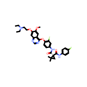 CCN(CC)CCOc1cc2ncnc(Oc3ccc(NC(=O)[C@]4(C(=O)Nc5ccc(F)cc5)CC4(C)C)cc3F)c2cc1OC